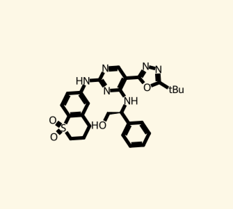 CC(C)(C)c1nnc(-c2cnc(Nc3ccc4c(c3)CCCS4(=O)=O)nc2N[C@H](CO)c2ccccc2)o1